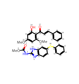 COC(=O)Nc1nc2ccc(Sc3ccccc3)cc2[nH]1.COc1cc(O)c(C(=O)C=Cc2ccccc2)c(OC)c1